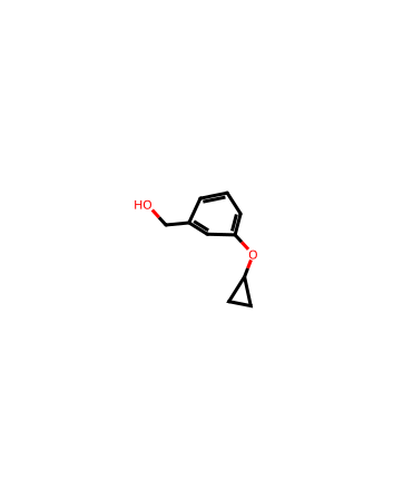 OCc1cccc(OC2CC2)c1